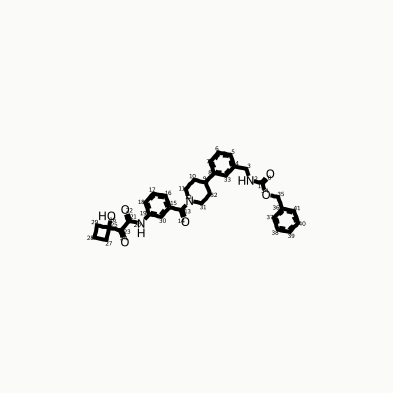 O=C(NCc1cccc(C2CCN(C(=O)c3cccc(NC(=O)C(=O)C4(O)CCC4)c3)CC2)c1)OCc1ccccc1